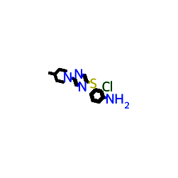 CC1CCN(c2cnc(Sc3cccc(N)c3Cl)cn2)CC1